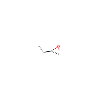 [C]CC1CO1